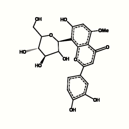 COc1cc(O)c([C@@H]2OC(CO)[C@@H](O)[C@H](O)C2O)c2oc(-c3ccc(O)c(O)c3)cc(=O)c12